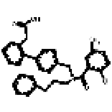 Cc1ccc(Cl)c(C(=O)N(CCCc2ccccc2)Cc2ccc(-c3ccccc3CC(=O)O)cc2)c1